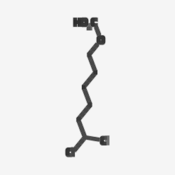 O=C(O)OCCCCCC(Cl)Cl